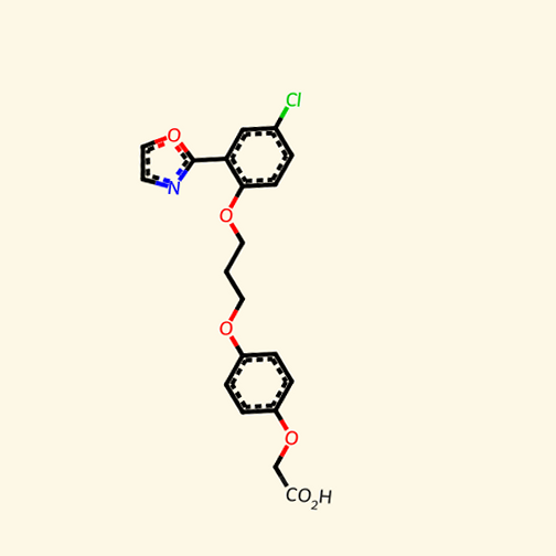 O=C(O)COc1ccc(OCCCOc2ccc(Cl)cc2-c2ncco2)cc1